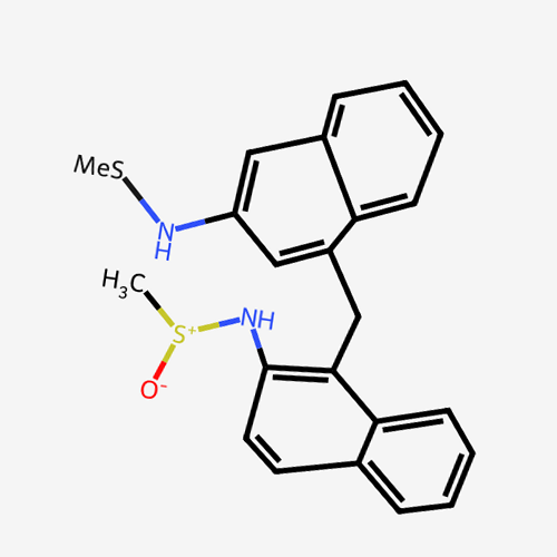 CSNc1cc(Cc2c(N[S+](C)[O-])ccc3ccccc23)c2ccccc2c1